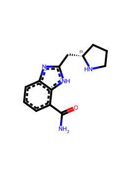 NC(=O)c1cccc2nc(C[C@@H]3CCCN3)[nH]c12